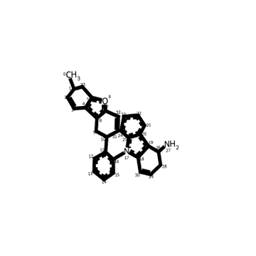 CC1C=Cc2c(oc3c2CC(c2ccccc2-n2c4c(c5ccccc52)C(N)CC=C4)C=C3)C1